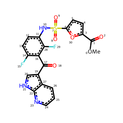 COC(=O)c1ccc(S(=O)(=O)Nc2ccc(F)c(C(=O)c3c[nH]c4ncccc34)c2F)o1